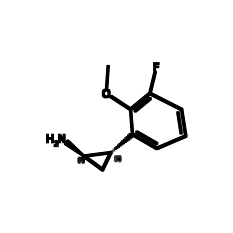 COc1c(F)cccc1[C@@H]1C[C@H]1N